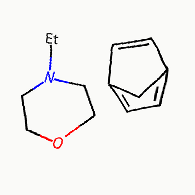 C1=CC2=CC=C1C2.CCN1CCOCC1